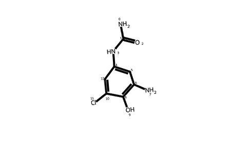 NC(=O)Nc1cc(N)c(O)c(Cl)c1